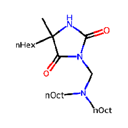 CCCCCCCCN(CCCCCCCC)CN1C(=O)NC(C)(CCCCCC)C1=O